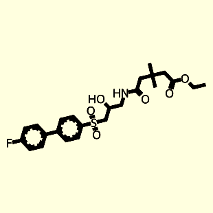 CCOC(=O)CC(C)(C)CC(=O)NCC(O)CS(=O)(=O)c1ccc(-c2ccc(F)cc2)cc1